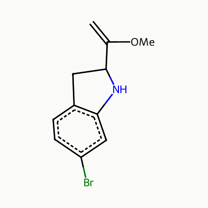 C=C(OC)C1Cc2ccc(Br)cc2N1